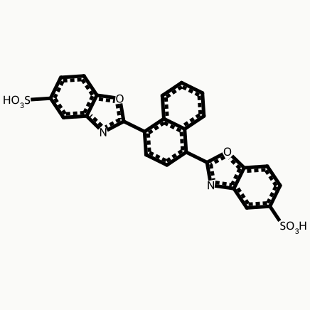 O=S(=O)(O)c1ccc2oc(-c3ccc(-c4nc5cc(S(=O)(=O)O)ccc5o4)c4ccccc34)nc2c1